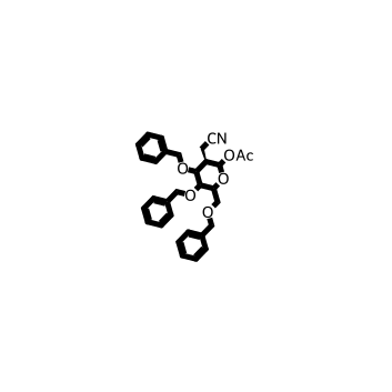 CC(=O)OC1OC(COCc2ccccc2)C(OCc2ccccc2)C(OCc2ccccc2)[C@H]1CC#N